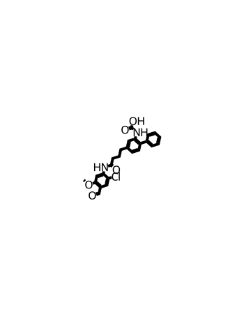 COc1cc(NC(=O)CCCc2ccc(-c3ccccc3)c(NC(=O)O)c2)c(Cl)cc1C=O